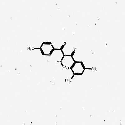 Cc1ccc(C(=O)N(NC(C)(C)C)C(=O)c2cc(C)cc(C)c2)cc1